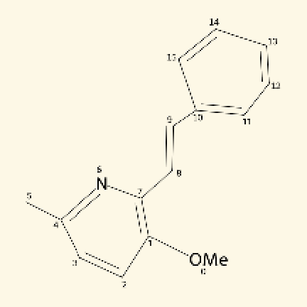 COc1ccc(C)nc1C=Cc1ccccc1